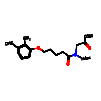 CCCCCCN(CC(=O)OC)C(=O)CCCCOc1cccc(C=O)c1[N+](=O)[O-]